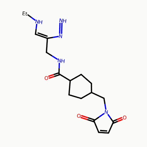 CCN/C=C(/CNC(=O)C1CCC(CN2C(=O)C=CC2=O)CC1)N=N